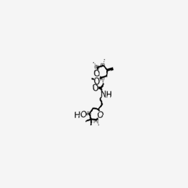 C=C1C[C@@](CC(=O)NCCC2C[C@@H](O)C(C)(C)[C@@H](C)O2)(OC)O[C@H](C)[C@@H]1C